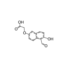 O=Cc1c(O)ccc2cc(OCC(=O)O)ccc12